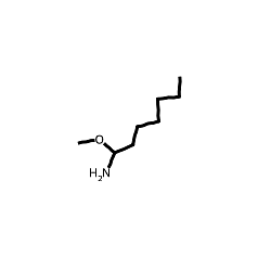 CCCCCCC(N)OC